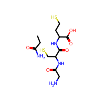 CCC(N)=O.NCC(=O)NC(CS)C(=O)NC(CCS)C(=O)O